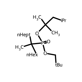 CCCCCCCC(C)(CCCCCC)P(=O)(OCC(C)(C)C)OC(C)(C)CC(C)C